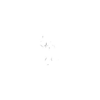 O=C(NCCc1cccc(C(F)(F)F)c1)C1(c2ccccc2F)CCCCC1